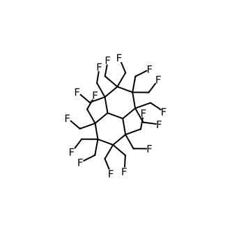 FCC1(CF)C2C(C(CF)(CF)C(CF)(CF)C1(CF)CF)C(CF)(CF)C(CF)(CF)C(CF)(CF)C2(CF)CF